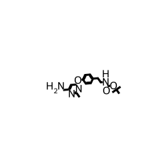 Cc1nc(CN)cc(Oc2ccc(CCNC(=O)OC(C)(C)C)cc2)n1